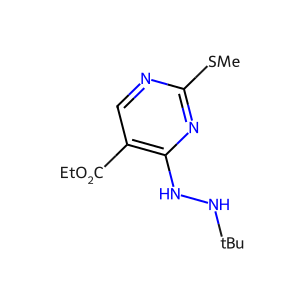 CCOC(=O)c1cnc(SC)nc1NNC(C)(C)C